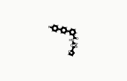 O=C(Nc1nnc(-c2ccco2)o1)c1cccc(-c2ccc(-c3ccc(F)cc3)cc2)c1